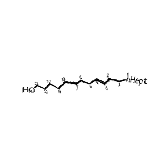 CCCCCCCCC/C=C/CCCCCCCCO